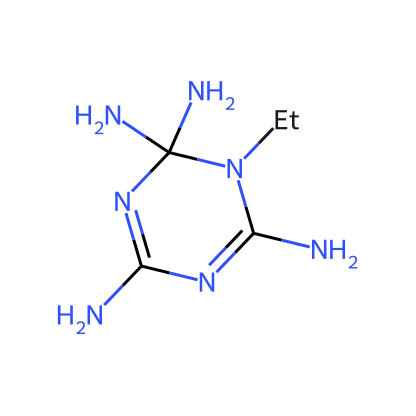 CCN1C(N)=NC(N)=NC1(N)N